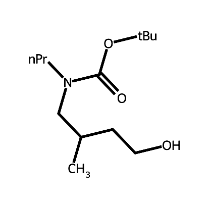 CCCN(CC(C)CCO)C(=O)OC(C)(C)C